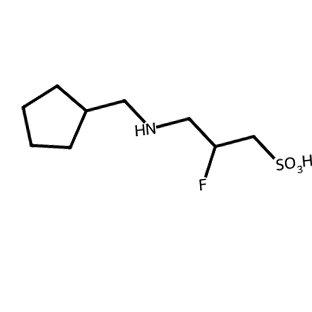 O=S(=O)(O)CC(F)CNCC1CCCC1